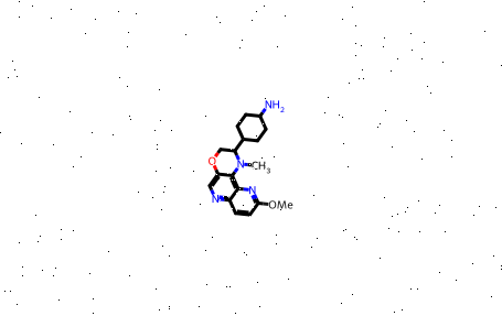 COc1ccc2ncc3c(c2n1)N(C)C(C1CCC(N)CC1)CO3